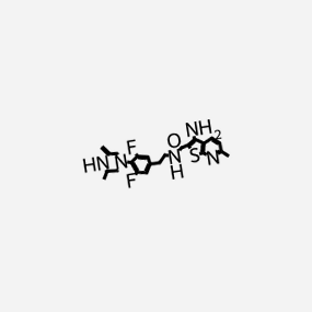 C=C1CN(c2c(F)cc(CCNC(=O)c3sc4nc(C)ccc4c3N)cc2F)CC(C)N1